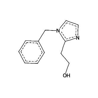 OCCc1nccn1Cc1ccccc1